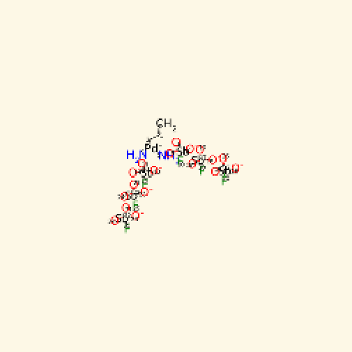 C=C[CH2][Pd-]([NH2])[NH2].[O]=[Sb]([O-])([O-])[F].[O]=[Sb]([O-])([O-])[F].[O]=[Sb]([O-])([O-])[F].[O]=[Sb]([O-])([O-])[F].[O]=[Sb]([O-])([O-])[F].[O]=[Sb]([O-])([O-])[F]